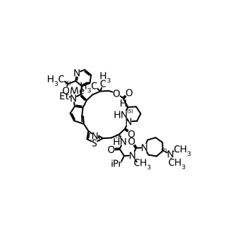 CCn1c(-c2cccnc2[C@H](C)OC)c2c3cc(ccc31)-c1csc(n1)C[C@H](NC(=O)C(C(C)C)N(C)C(=O)N1CCC[C@@H](N(C)C)CC1)C(=O)N1CCC[C@H](N1)C(=O)OCC(C)(C)C2